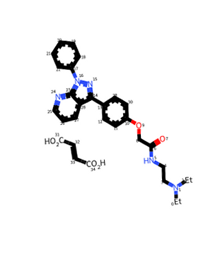 CCN(CC)CCNC(=O)COc1ccc(-c2nn(-c3ccccc3)c3ncccc23)cc1.O=C(O)C=CC(=O)O